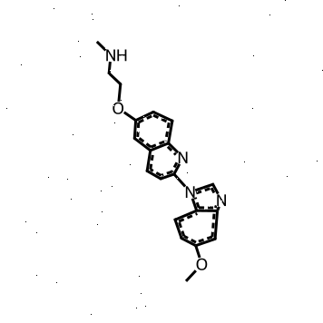 CNCCOc1ccc2nc(-n3cnc4cc(OC)ccc43)ccc2c1